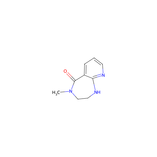 CN1CCNc2ncccc2C1=O